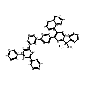 CC1(C)c2ccccc2-c2cc(-c3cccc4ccccc34)c(-c3ccc(-c4cccc(-c5nc(-c6ccccc6)nc(-c6ccccc6)n5)c4)cc3)cc21